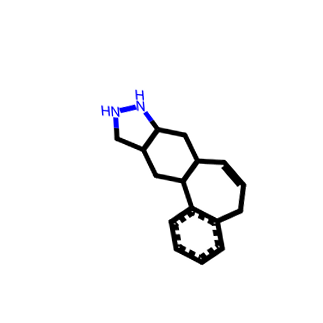 C1=CC2CC3NNCC3CC2c2ccccc2C1